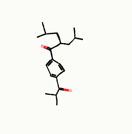 CC(C)CC(CC(C)C)C(=O)c1ccc(C(=O)C(C)C)cc1